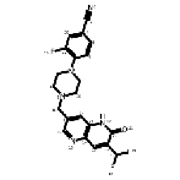 N#Cc1ccc(N2CCN(Cc3cnc4cc(C(F)F)c(=O)[nH]c4c3)CC2)c(F)c1